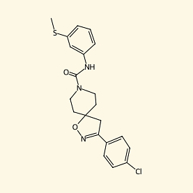 CSc1cccc(NC(=O)N2CCC3(CC2)CC(c2ccc(Cl)cc2)=NO3)c1